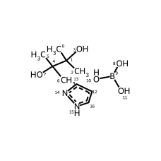 CC(C)(O)C(C)(C)O.OB(O)O.c1cn[nH]c1